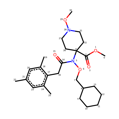 COC(=O)C1(N(OCC2CCCCC2)C(=O)Cc2c(C)cc(C)cc2C)CCN(OC)CC1